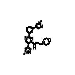 Cn1cc(-c2cccc(-c3ncc(-c4cnn(C)c4)c(NCCN4CCOCC4)n3)c2)cn1